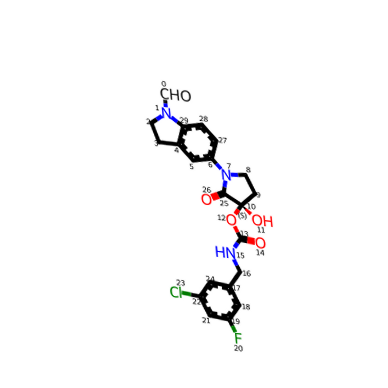 O=CN1CCc2cc(N3CC[C@](O)(OC(=O)NCc4cc(F)cc(Cl)c4)C3=O)ccc21